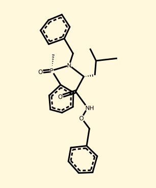 CC(C)C[C@H](C(=O)NOCc1ccccc1)N(Cc1ccccc1)[P@](C)(=O)c1ccccc1